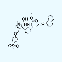 CCOC(=O)c1[nH]c2c(-c3c(COc4ccc(S(C)(=O)=O)cc4)nn(C)c3CO)cccc2c1CCCOc1cccc2ccccc12